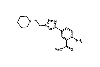 COC(=O)c1cc(-c2cn(CCN3CCCCC3)nn2)ccc1N